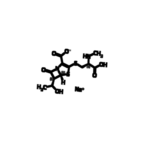 CN[C@H](CSC1=C(C(=O)[O-])N2C(=O)[C@H](C(C)O)[C@H]2S1)C(=O)O.[Na+]